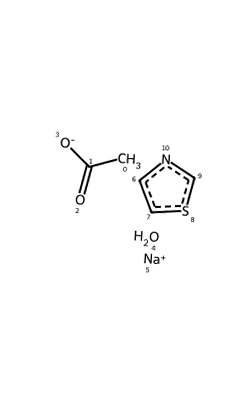 CC(=O)[O-].O.[Na+].c1cscn1